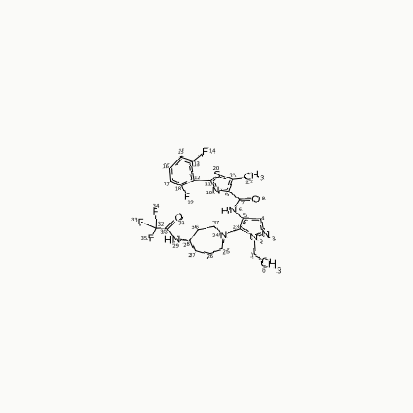 CCn1ncc(NC(=O)c2nc(-c3c(F)cccc3F)sc2C)c1N1CCC[C@@H](NC(=O)C(F)(F)F)CC1